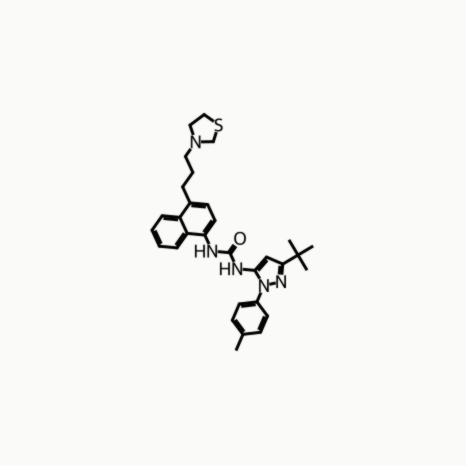 Cc1ccc(-n2nc(C(C)(C)C)cc2NC(=O)Nc2ccc(CCCN3CCSC3)c3ccccc23)cc1